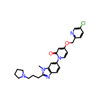 Cn1c(CCCN2CCCC2)nc2ccc(-n3ccc(OCc4ccc(Cl)cn4)cc3=O)cc21